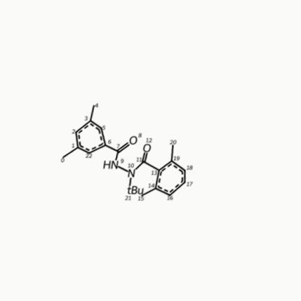 Cc1cc(C)cc(C(=O)NN(C(=O)c2c(C)cccc2C)C(C)(C)C)c1